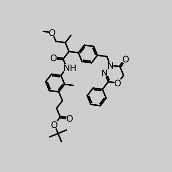 COCC(C)C(C(=O)Nc1cccc(CCC(=O)OC(C)(C)C)c1C)c1ccc(CN2N=C(c3ccccc3)OCC2=O)cc1